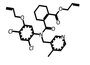 C=CCOC(=O)C1=C(C(=O)N(Cc2cnccc2C)c2cc(OCC=C)c(Cl)cc2Cl)CCCC1